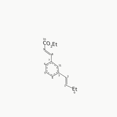 CC/C=C/c1cccc(/C=C/C(=O)OCC)c1